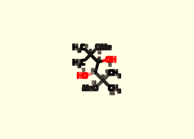 COC(C)(C)C(O)[C@@H](O)C(C)(C)OC